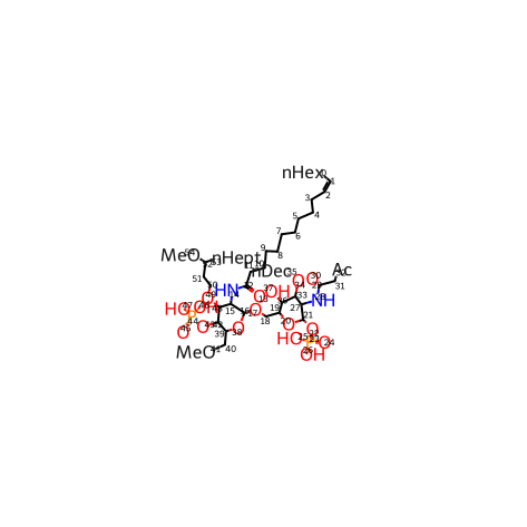 CCCCCC/C=C\CCCCCCCCCC(=O)NC1C(OCC2OC(OP(=O)(O)O)C(NC(=O)CC(C)=O)C(OCCCCCCCCCC)C2O)OC(COC)C(OP(=O)(O)O)C1OCCC(CCCCCCC)OC